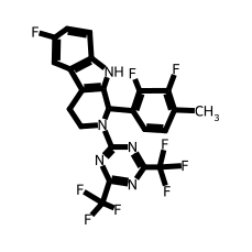 Cc1ccc(C2c3[nH]c4ccc(F)cc4c3CCN2c2nc(C(F)(F)F)nc(C(F)(F)F)n2)c(F)c1F